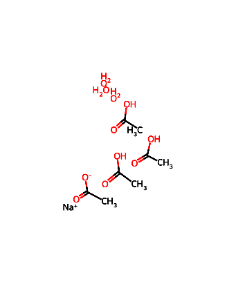 CC(=O)O.CC(=O)O.CC(=O)O.CC(=O)[O-].O.O.O.[Na+]